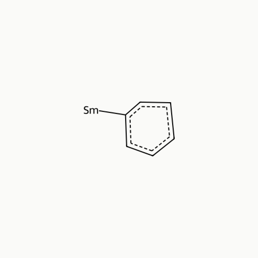 [Sm][c]1ccccc1